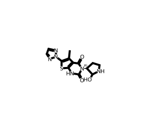 Cc1c(-n2nccn2)sc2[nH]c(=O)n([C@@H]3CCNC3O)c(=O)c12